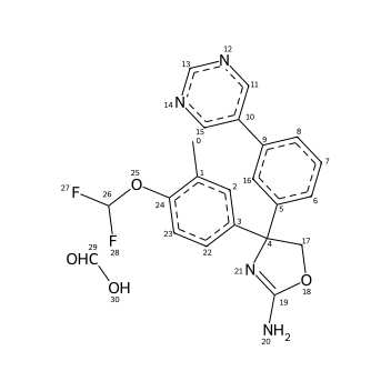 Cc1cc(C2(c3cccc(-c4cncnc4)c3)COC(N)=N2)ccc1OC(F)F.O=CO